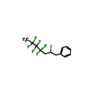 FC(F)(F)C(F)(F)C(F)(F)C(F)(F)CC(I)Cc1ccccc1